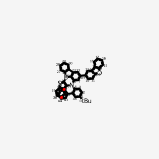 CC(C)(C)c1ccc(N2c3cc(-c4ccc5oc6ccccc6c5c4)cc4c3B(c3ccccc3-4)c3sc4ccccc4c32)c(-c2ccccc2)c1